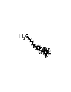 CCCCCCCCOc1ccc(NC(=O)c2cc(F)c(F)c(F)c2F)cc1